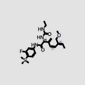 C=C(/C=C\C(=C/C)COC)[C@@H](NC(=O)NCC)C(=O)Nc1ccc([Si](C)(C)C)c(F)c1